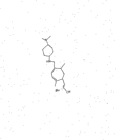 CC[C@@H](C)/C(C#N)=C\C1CC(C)C(CNC2CCC(N(C)C)CC2)=CC=C1C